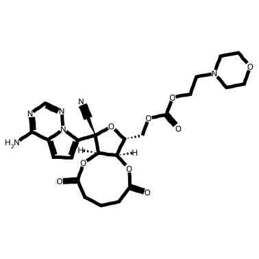 N#C[C@@]1(c2ccc3c(N)ncnn23)O[C@H](COC(=O)OCCN2CCOCC2)[C@H]2OC(=O)CCCC(=O)O[C@H]21